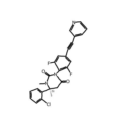 CN1C(=O)N(c2c(F)cc(C#Cc3cccnc3)cc2F)C(=O)C[C@@]1(C)c1ccccc1Cl